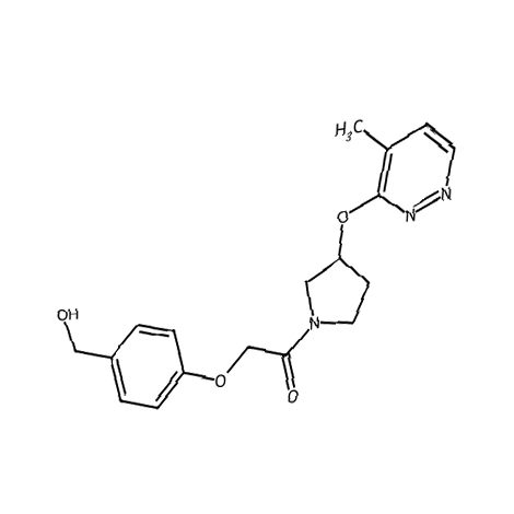 Cc1ccnnc1OC1CCN(C(=O)COc2ccc(CO)cc2)C1